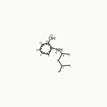 CC(C)CC(C)Nc1ccccc1O